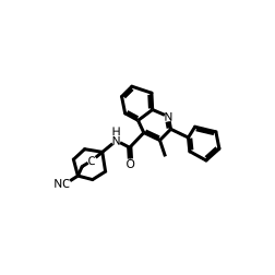 Cc1c(-c2ccccc2)nc2ccccc2c1C(=O)NC12CCC(C#N)(CC1)CC2